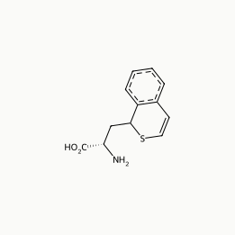 N[C@@H](CC1SC=Cc2ccccc21)C(=O)O